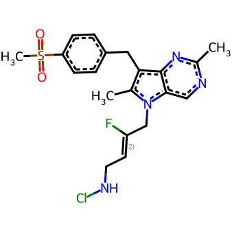 Cc1ncc2c(n1)c(Cc1ccc(S(C)(=O)=O)cc1)c(C)n2C/C(F)=C/CNCl